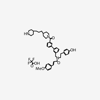 COc1ccc(C=CC(=O)N(CCc2ccc(O)cc2)Cc2cccc(-c3cccc(C(=O)N4CCC(CCCC5CCNCC5)CC4)c3)c2)cc1.O=C(O)C(F)(F)F